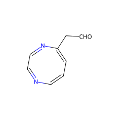 O=CCC1=CC=CN=CC=N1